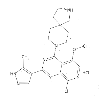 COc1cnc(Cl)c2nc(-c3cn[nH]c3C)nc(N3CCC4(CCNC4)CC3)c12.Cl